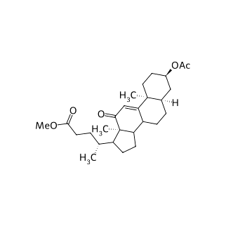 COC(=O)CC[C@@H](C)C1CCC2C3CC[C@@H]4C[C@H](OC(C)=O)CC[C@]4(C)C3=CC(=O)[C@@]21C